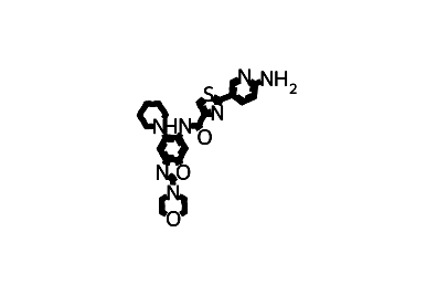 Nc1ccc(-c2nc(C(=O)Nc3cc4oc(N5CCOCC5)nc4cc3N3CCCCC3)cs2)cn1